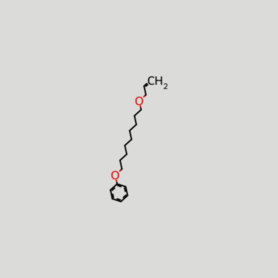 C=CCOCCCCCCCCCOc1ccccc1